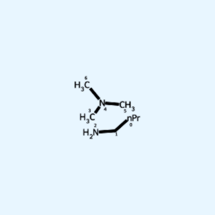 CCCCN.CN(C)C